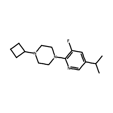 CC(C)c1cnc(N2CCN(C3CCC3)CC2)c(F)c1